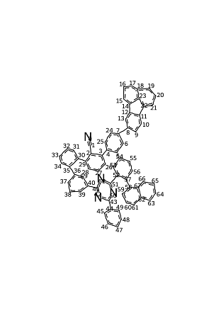 N#Cc1c(-c2ccc(-c3ccc4c(c3)-c3cccc5cccc-4c35)cc2)cccc1-c1ccccc1-c1cccc(-c2nc(-c3ccccc3)nc(-c3ccccc3-c3cccc4ccccc34)n2)c1